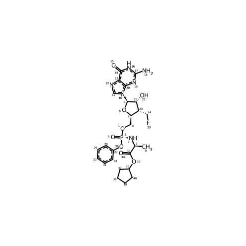 C[C@H](N[P@](=O)(OC[C@H]1O[C@@H](n2cnc3c(=O)[nH]c(N)nc32)[C@H](O)[C@@H]1CF)Oc1ccccc1)C(=O)OC1CCCC1